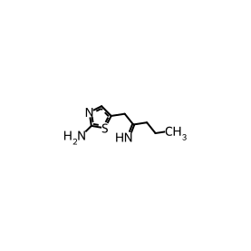 CCCC(=N)Cc1cnc(N)s1